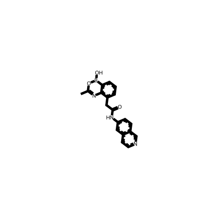 CC1=Nc2c(CC(=O)Nc3ccc4cnccc4c3)cccc2B(O)O1